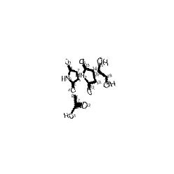 CC(=O)O.O=C1CCC(=O)N1.O=C1CCC(=O)N1.OCCO